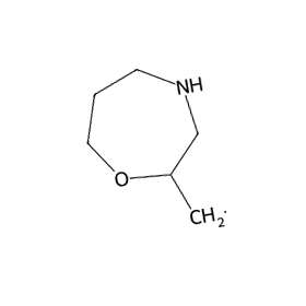 [CH2]C1CNCCCO1